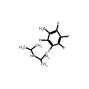 Bc1c(F)c(F)c(F)c(F)c1F.CC(C)NC(C)C